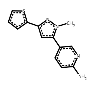 Cn1nc(-c2cccs2)cc1-c1ccc(N)nc1